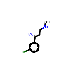 N[C@H](CCNC(=O)O)c1cccc(Br)c1